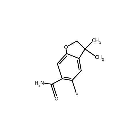 CC1(C)COc2cc(C(N)=O)c(F)cc21